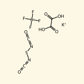 F[B-](F)(F)F.O=C(O)C(=O)O.O=C=NSN=C=O.[K+]